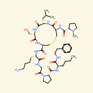 CCCC[C@@H](NC(=O)[C@@H]1CCCN1C(=O)CNC(=O)[C@H](CCCCN)NC(=O)[C@@H]1CSSC[C@H](NC(=O)[C@@H]2CCCN2C)C(=O)N[C@@H](CC(C)C)C(=O)N[C@@H](CO)C(=O)N1)C(=O)NCCc1ccccc1